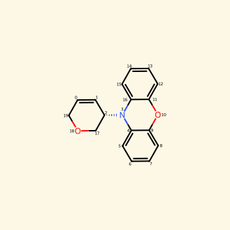 C1=C[C@H](N2c3ccccc3Oc3ccccc32)COC1